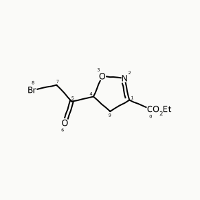 CCOC(=O)C1=NOC(C(=O)CBr)C1